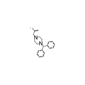 [CH2]C(=C)CN1CCN(C(c2ccccc2)c2ccccc2)CC1